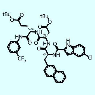 CC(C)(C)OC(=O)CC[C@H](NC(=O)[C@H](CC(=O)OC(C)(C)C)NC(=O)[C@H](Cc1ccc2ccccc2c1)NC(=O)c1cc2cc(Cl)ccc2[nH]1)C(=O)Nc1cccc(C(F)(F)F)c1